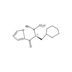 CC(C)(C)N(C(=O)O)[C@@H](CC1CCCCC1)C(=O)c1ccco1